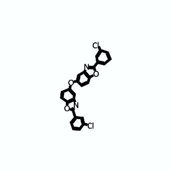 Clc1cccc(-c2nc3cc(Oc4ccc5oc(-c6cccc(Cl)c6)nc5c4)ccc3o2)c1